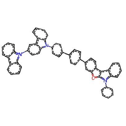 c1ccc(-n2c3ccccc3c3c4ccc(-c5ccc(-c6ccc(-n7c8ccccc8c8cc(-n9c%10ccccc%10c%10ccccc%109)ccc87)cc6)cc5)cc4oc32)cc1